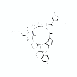 COCCN(CCOC)C(=O)[C@H]1/C(F)=C/C[C@H](C)C/S(NC(=O)c2cn(C)nc2OC)=N\C(=O)c2ccc3c(c2F)N(C[C@@]2(CCCc4cc(Cl)ccc42)CO3)[C@@H]2CCCN12